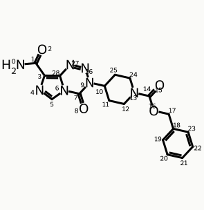 NC(=O)c1ncn2c(=O)n(C3CCN(C(=O)OCc4ccccc4)CC3)nnc12